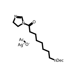 CC(=O)[O-].CCCCCCCCCCCCCCCCCC(=O)N1C=NCC1.[Ag+]